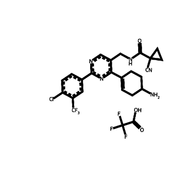 N#CC1(C(=O)NCc2cnc(-c3ccc(Cl)c(C(F)(F)F)c3)nc2C2=CCC(N)CC2)CC1.O=C(O)C(F)(F)F